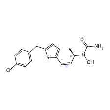 C[C@H](/C=C\c1ccc(Cc2ccc(Cl)cc2)s1)N(O)C(N)=O